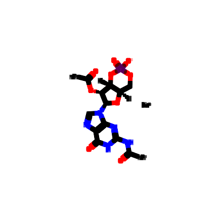 CCCC(=O)Nc1nc2c(ncn2[C@@H]2O[C@@H]3COP(=O)([O-])O[C@H]3[C@H]2OC(=O)CCC)c(=O)[nH]1.[Na+]